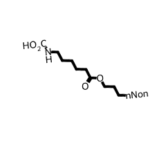 CCCCCCCCCCCCOC(=O)CCCCCNC(=O)O